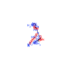 CN(Cc1cnc2nc(N)nc(N)c2n1)c1ccc(C(=O)N[C@@H](CCC(=O)NCCCCCN(CCCCCNC(=O)CC[C@H](NC(=O)c2ccc(N(C)Cc3cnc4nc(N)nc(N)c4n3)cc2)C(=O)O)CCOCCOCCNC(=O)CCOCCOCCOCCOCCN=[N+]=[N-])C(=O)O)cc1